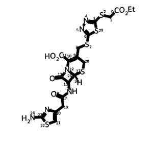 CCOC(=O)CSc1nnc(SCC2=C(C(=O)O)N3C(=O)C(NC(=O)Cc4csc(N)n4)[C@H]3SC2)s1